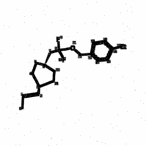 CC=C[C@H]1CC[C@H](CC(F)(F)OCc2ccc(CC)cc2)CC1